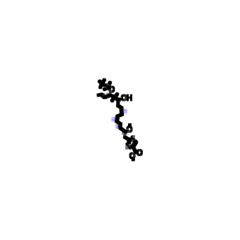 C/C=C/[C@H](O[Si](C)(C)C(C)(C)C)C(C)(C)[C@@H](O)C\C=C/C=C\C=C\[C@@H](Cc1nc(C(=O)OC)cs1)OC